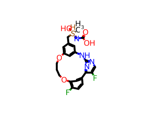 C[SH](O)(Cc1cc2cc(c1)OCCCOc1cc(ccc1F)-c1nc(ncc1F)N2)=NC(=O)O